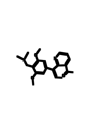 C/C=C(/c1cc(OC)c(CN(C)C)c(OC)c1)c1ncccc1C(C)=O